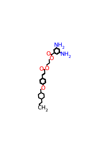 C=CCC1CCC(COc2ccc(C=CC(=O)OCCCOC(=O)c3cc(N)cc(N)c3)cc2)CC1